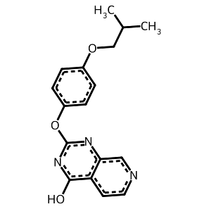 CC(C)COc1ccc(Oc2nc(O)c3ccncc3n2)cc1